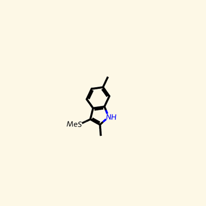 CSc1c(C)[nH]c2cc(C)ccc12